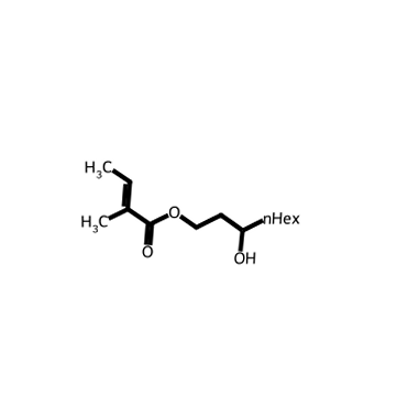 CC=C(C)C(=O)OCCC(O)CCCCCC